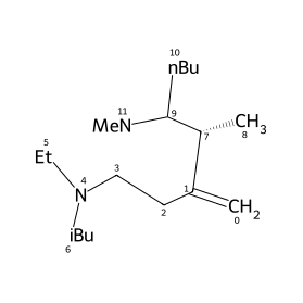 C=C(CCN(CC)C(C)CC)[C@@H](C)C(CCCC)NC